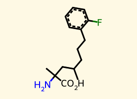 CC(CCCc1ccccc1F)CC(C)(N)C(=O)O